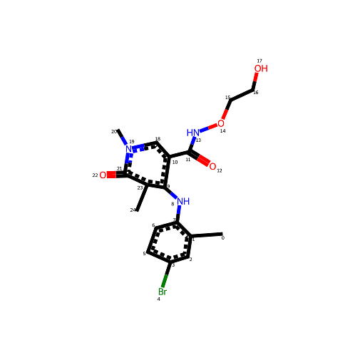 Cc1cc(Br)ccc1Nc1c(C(=O)NOCCO)cn(C)c(=O)c1C